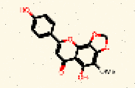 COc1c2c(c3oc(-c4ccc(O)cc4)cc(=O)c3c1O)OCO2